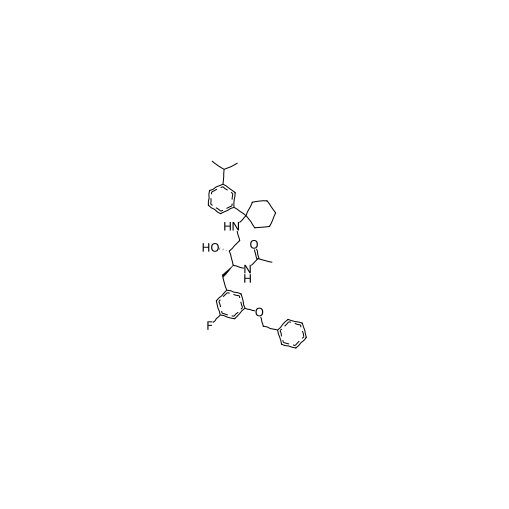 CC(=O)N[C@@H](Cc1cc(F)cc(OCc2ccccc2)c1)[C@H](O)CNC1(c2cccc(C(C)C)c2)CCCCC1